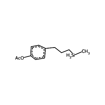 C[SiH2]CCCc1ccc(OC(C)=O)cc1